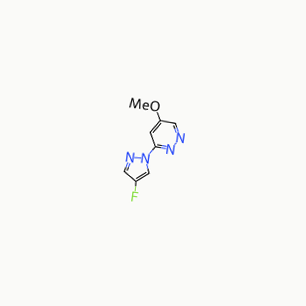 COc1cnnc(-n2cc(F)cn2)c1